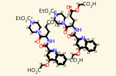 CCOC(=O)N1CCN(C(=O)C(CCC(=O)O)NC(=O)c2cc(OCC(=O)O)c3ccccc3n2)CC1.CCOC(=O)N1CCN(C(=O)C(CCC(=O)OCC(=O)O)NC(=O)c2cc(OCC(=O)O)c3ccccc3n2)CC1